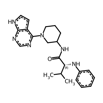 CC(C)[C@@H](Nc1ccccc1)C(=O)NC1CCCN(c2ncnc3[nH]ccc23)C1